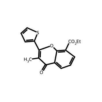 CCOC(=O)c1cccc2c(=O)c(C)c(-c3cccs3)oc12